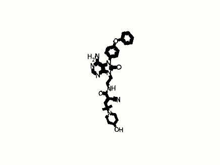 CC(C)(C=C(C#N)C(=O)NCCn1c(=O)n(-c2ccc(Oc3ccccc3)cc2)c2c(N)ncnc21)N1CCC(O)CC1